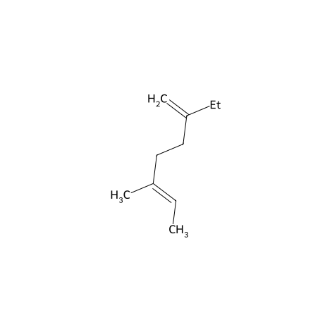 C=C(CC)CCC(C)=CC